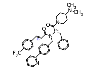 CN(C)C1CCN(C(=O)[C@H](Cc2ccccc2)N(Cc2ccc(-c3ccccn3)cc2)C(=O)/C=C/c2ccc(C(F)(F)F)cc2)CC1